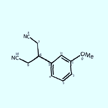 COc1cccc(C(CC#N)CC#N)c1